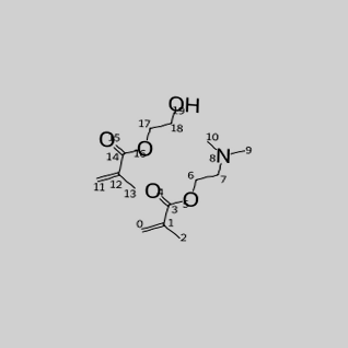 C=C(C)C(=O)OCCN(C)C.C=C(C)C(=O)OCCO